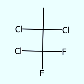 CC(Cl)(Cl)C(F)(F)Cl